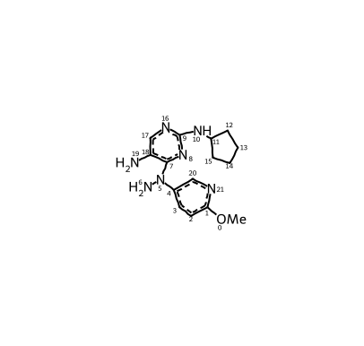 COc1ccc(N(N)c2nc(NC3CCCC3)ncc2N)cn1